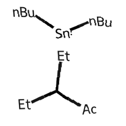 CCC(CC)C(C)=O.CCC[CH2][Sn][CH2]CCC